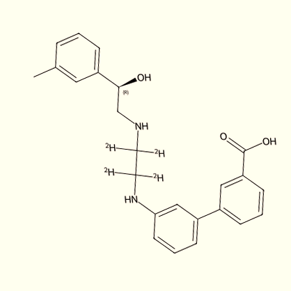 [2H]C([2H])(NC[C@H](O)c1cccc(C)c1)C([2H])([2H])Nc1cccc(-c2cccc(C(=O)O)c2)c1